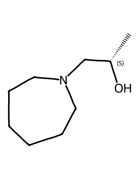 C[C@H](O)CN1CCCCCC1